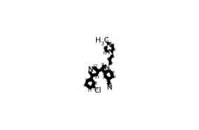 CN1CCN(CCCn2cc(-c3cncc(-c4cccc(Cl)c4)c3)c3cc(C#N)ccc32)CC1